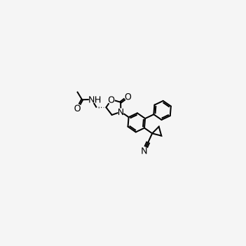 CC(=O)NC[C@H]1CN(c2ccc(C3(C#N)CC3)c(-c3ccccc3)c2)C(=O)O1